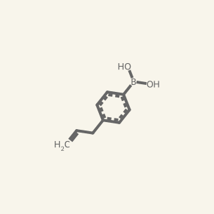 C=CCc1ccc(B(O)O)cc1